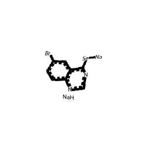 [NaH].[Na][Se]c1ncnc2ccc(Br)cc12